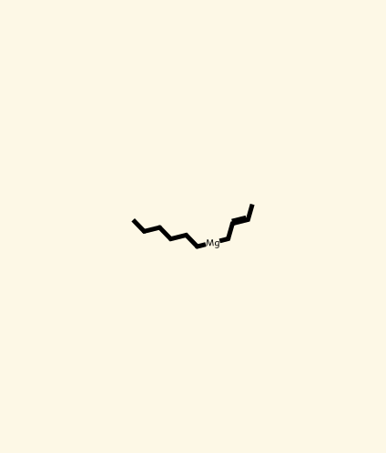 CC=C[CH2][Mg][CH2]CCCCC